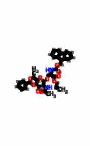 C=CCOC(=O)C(CO[C@H](OC1COC(c2ccccc2)O[C@H]1C)[C@H](CO)NC(C)=O)NC(=O)OCC1c2ccccc2-c2ccccc21